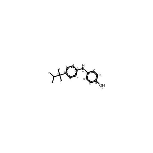 CC(C)C(C)(C)c1ccc(Bc2ccc(O)cc2)cc1